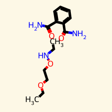 CCNOCCOCC.NC(=O)c1ccccc1C(N)=O